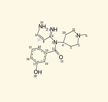 CN1CCC(N(C(=N)/C=C\N)C(=O)c2cccc(O)c2)CC1